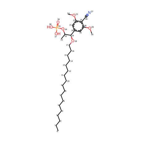 CCCCCCCCCCCCCCCCCCO[C@H](c1cc(OC)c(C#N)c(OC)c1)C(C)OP(=O)(O)O